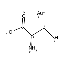 N[C@@H](CS)C(=O)[O-].[Au+]